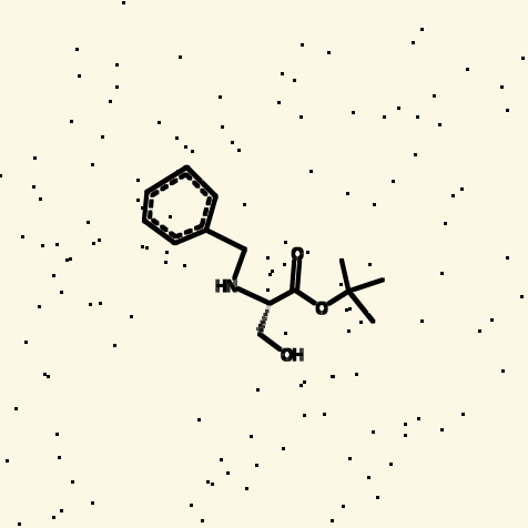 CC(C)(C)OC(=O)[C@H](CO)NCc1ccccc1